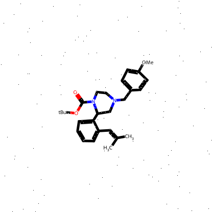 COc1ccc(CN2CCN(C(=O)OC(C)(C)C)C(c3ccccc3C=C(C)C)C2)cc1